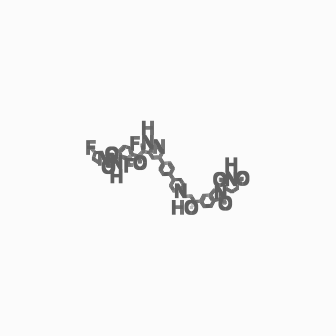 O=C1CC[C@@H](N2Cc3cc([C@H](O)CCN4CCC(c5ccc(-c6cnc7[nH]cc(C(=O)c8c(F)ccc(NS(=O)(=O)N9CC[C@@H](F)C9)c8F)c7c6)cc5)CC4)ccc3C2=O)C(=O)N1